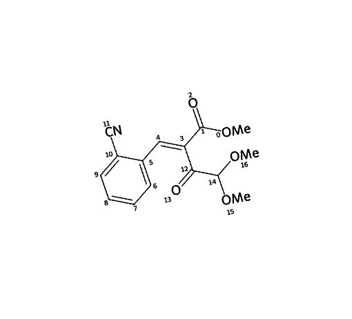 COC(=O)C(=Cc1ccccc1C#N)C(=O)C(OC)OC